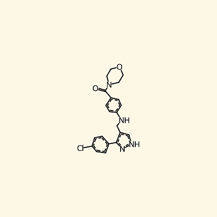 O=C(c1ccc(NCc2c[nH]nc2-c2ccc(Cl)cc2)cc1)N1CCOCC1